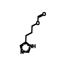 O=COCCCc1cnc[nH]1